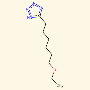 [CH2]COCCCCCCc1nnn[nH]1